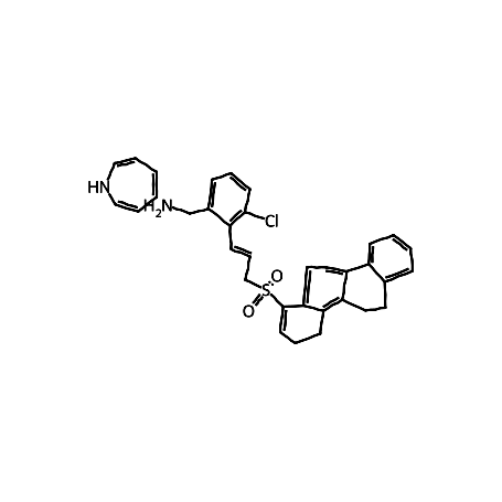 C1=CC=CNC=C1.NCc1cccc(Cl)c1C=CCS(=O)(=O)C1=CCCc2c1ccc1c2CCc2ccccc2-1